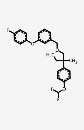 CCC(C)(COCc1cccc(Oc2ccc(F)cc2)c1)c1ccc(OC(F)F)cc1